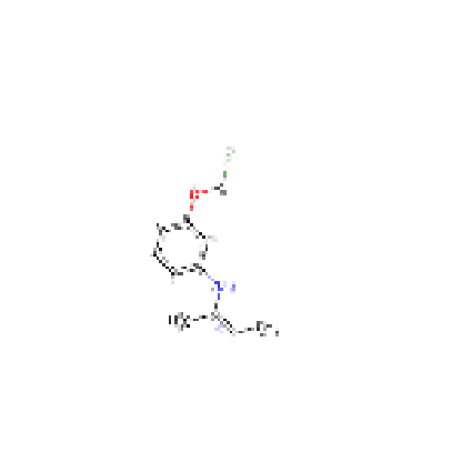 C/C=C(/C)Nc1cccc(OCF)c1